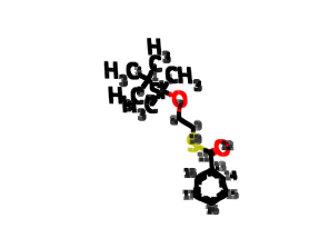 CC(C)(C)[Si](C)(C)OCCSC(=O)c1ccccc1